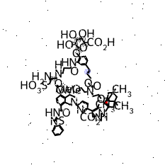 COCCN(CCOC12CC3(C)CC(C)(CC(Cn4ncc(-c5ccc(N6CCc7c(OC)ccc(C(=O)Nc8nc9ccccc9s8)c7C6)nc5C(=O)O)c4C)(C3)C1)C2)C(=O)OC/C=C/c1ccc(O[C@@H]2O[C@H](C(=O)O)[C@@H](O)[C@H](O)[C@H]2O)c(NC(=O)CCNC(=O)[C@@H](N)CS(=O)(=O)O)c1